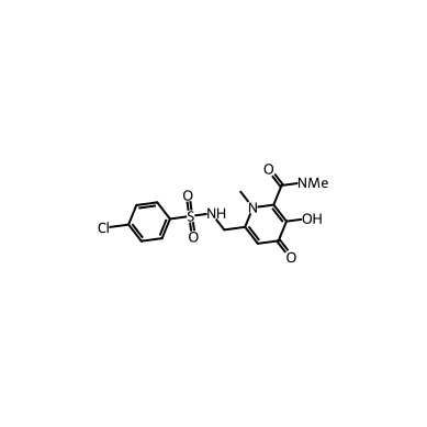 CNC(=O)c1c(O)c(=O)cc(CNS(=O)(=O)c2ccc(Cl)cc2)n1C